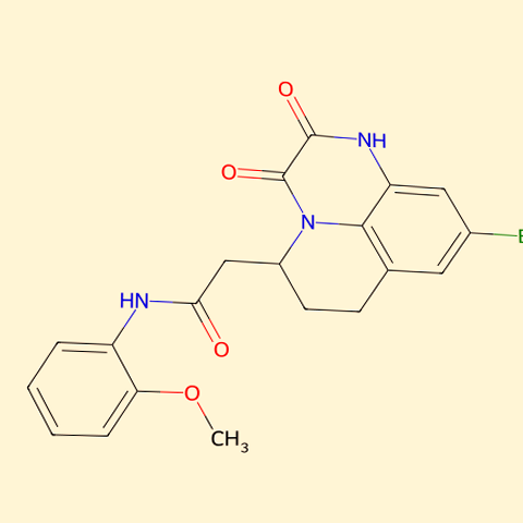 COc1ccccc1NC(=O)CC1CCc2cc(Br)cc3[nH]c(=O)c(=O)n1c23